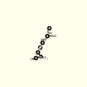 CNc1cc(SNc2ccc(N3CCN(c4cccc(-c5cc(C(F)(F)F)nn5-c5ccc(Cl)cc5)c4)CC3)cc2)ccc1NSC1=CCCC=C1